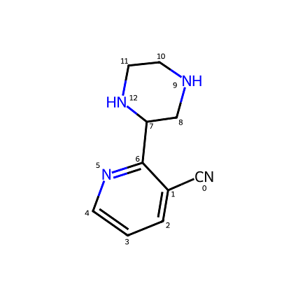 N#Cc1cccnc1C1CNCCN1